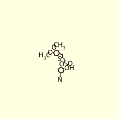 COc1cc2cc(/C=C(\Oc3ccc(C#N)cc3)C(=O)O)sc2cc1OC